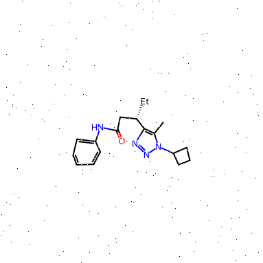 CC[C@@H](CC(=O)Nc1ccccc1)c1nnn(C2CCC2)c1C